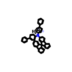 C=C(/C=C\C(=C/C)c1ccccc1)N(c1ccc(-c2ccccc2)cc1)c1ccc2c(c1)C1(c3ccccc3-c3ccccc31)c1ccccc1-2